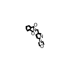 O=C1c2ccccc2C(=O)N1Cc1ccc(N2CCOCC2)nc1